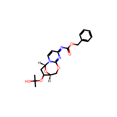 CC(C)(O)OC1C[C@H]2O[C@@H]1COc1n/c(=N\C(=O)OCc3ccccc3)ccn12